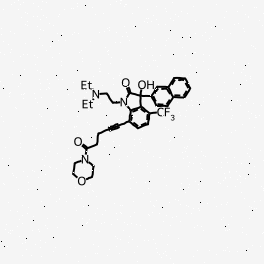 CCN(CC)CCN1C(=O)C(O)(c2ccc3ccccc3c2)c2c(C(F)(F)F)ccc(C#CCCC(=O)N3CCOCC3)c21